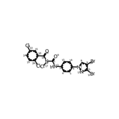 O=C(Nc1ccc(-n2cc(Br)c(Br)n2)cc1)N(Cl)C(=O)c1cc(Cl)ccc1Cl